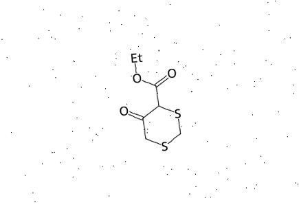 CCOC(=O)C1SCSCC1=O